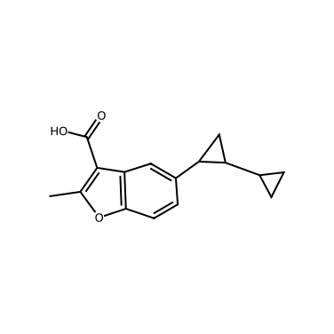 Cc1oc2ccc(C3CC3C3CC3)cc2c1C(=O)O